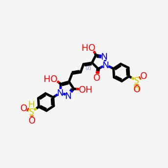 O=C1/C(=C\C=Cc2c(O)nn(-c3ccc([SH](=O)=O)cc3)c2O)C(O)=NN1c1ccc([SH](=O)=O)cc1